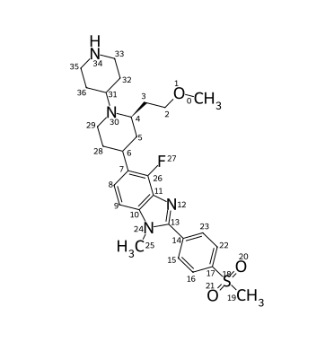 COCC[C@H]1CC(c2ccc3c(nc(-c4ccc(S(C)(=O)=O)cc4)n3C)c2F)CCN1C1CCNCC1